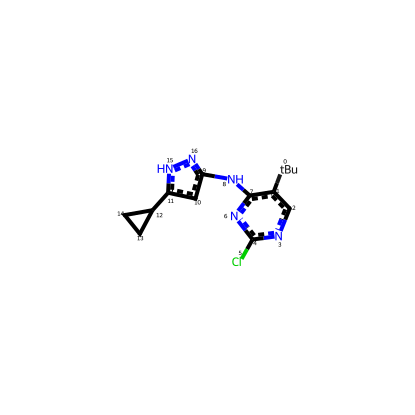 CC(C)(C)c1cnc(Cl)nc1Nc1cc(C2CC2)[nH]n1